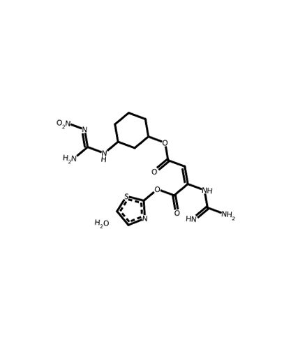 N=C(N)N/C(=C/C(=O)OC1CCCC(NC(N)=N[N+](=O)[O-])C1)C(=O)Oc1nccs1.O